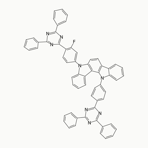 Fc1cc(-n2c3ccccc3c3c2ccc2c4ccccc4n(-c4ccc(-c5nc(-c6ccccc6)nc(-c6ccccc6)n5)cc4)c23)ccc1-c1nc(-c2ccccc2)nc(-c2ccccc2)n1